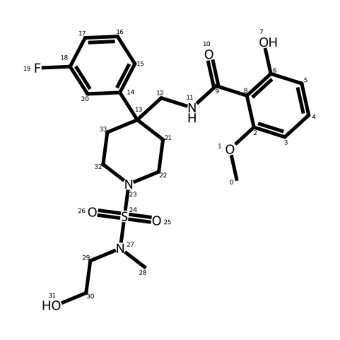 COc1cccc(O)c1C(=O)NCC1(c2cccc(F)c2)CCN(S(=O)(=O)N(C)CCO)CC1